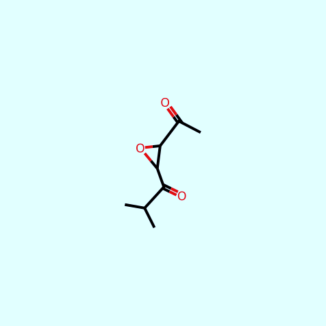 CC(=O)C1OC1C(=O)C(C)C